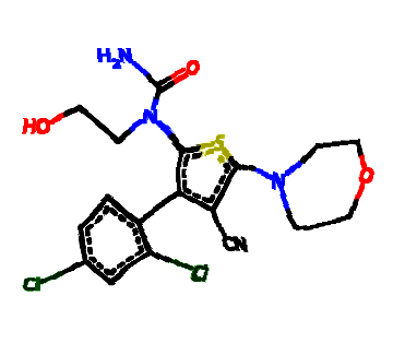 N#Cc1c(N2CCOCC2)sc(N(CCO)C(N)=O)c1-c1ccc(Cl)cc1Cl